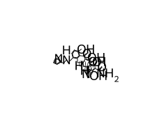 CN(C)[C@H]1C(O)=C(C(N)=O)C(=O)[C@@]2(O)C(O)=C3C(=O)c4c(O)ccc(CNCc5cccn5C)c4C[C@H]3C[C@H]12